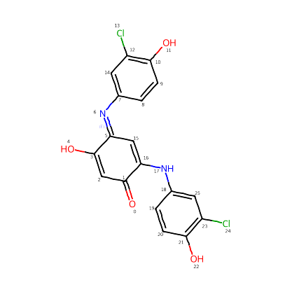 O=C1C=C(O)/C(=N/c2ccc(O)c(Cl)c2)C=C1Nc1ccc(O)c(Cl)c1